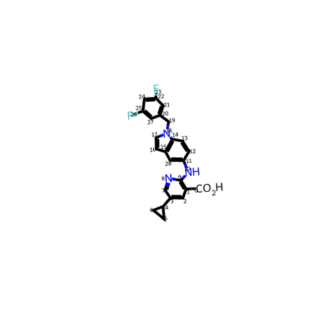 O=C(O)c1cc(C2CC2)cnc1Nc1ccc2c(ccn2Cc2cc(F)cc(F)c2)c1